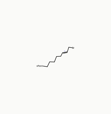 CCCCCCCCCC/C=C/CBr